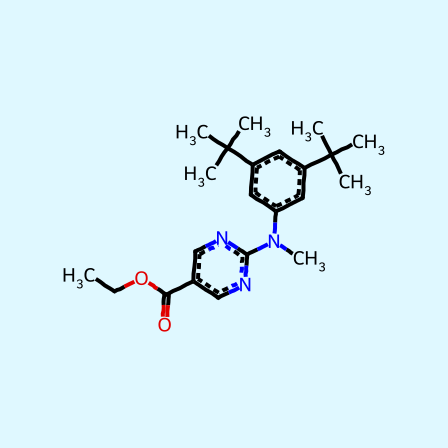 CCOC(=O)c1cnc(N(C)c2cc(C(C)(C)C)cc(C(C)(C)C)c2)nc1